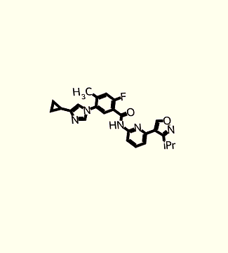 Cc1cc(F)c(C(=O)Nc2cccc(-c3conc3C(C)C)n2)cc1-n1cnc(C2CC2)c1